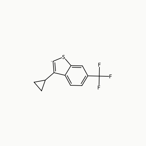 FC(F)(F)c1ccc2c(C3CC3)[c]sc2c1